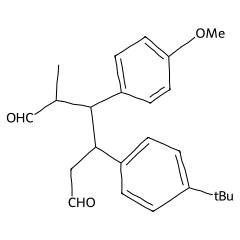 COc1ccc(C(C(C)C=O)C(CC=O)c2ccc(C(C)(C)C)cc2)cc1